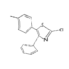 Cc1ccc(-c2sc(Cl)nc2-c2ccccc2)cc1